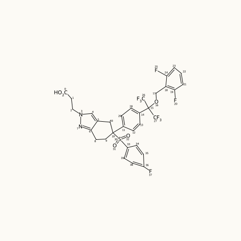 O=C(O)CCn1cc2c(n1)CCC(c1ccc(C(OCc3c(F)cccc3F)(C(F)(F)F)C(F)(F)F)cc1)(S(=O)(=O)c1ccc(F)cc1)C2